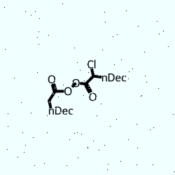 CCCCCCCCCCCC(=O)OOC(=O)C(Cl)CCCCCCCCCC